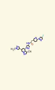 Cn1cc(-c2cc(-n3cc(NC(=O)Cc4ccc(-n5cc(F)cn5)nc4)cn3)c3c(C#N)cnn3c2)cn1